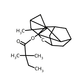 CCC(C)(C)C(=O)OC1(C)C2CC3C4CC5CC(C4)C1C3(C5)C2